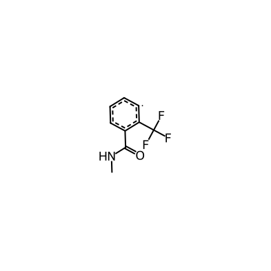 CNC(=O)c1ccc[c]c1C(F)(F)F